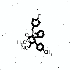 Cc1ccc(-c2c(CC#N)n(C)c(=O)c3c2c2ccccc2n3Cc2ccc(F)cc2)cc1